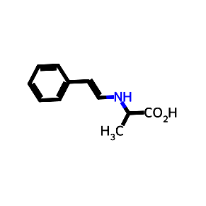 CC(NC=Cc1ccccc1)C(=O)O